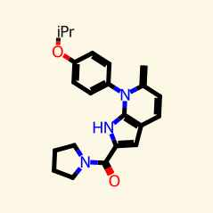 C=C1C=Cc2cc(C(=O)N3CCCC3)[nH]c2N1c1ccc(OC(C)C)cc1